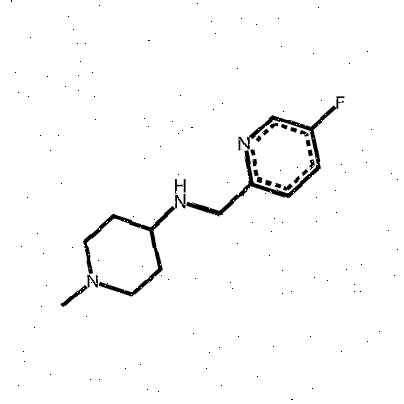 CN1CCC(NCc2ccc(F)cn2)CC1